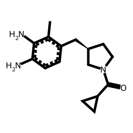 Cc1c(C[C@H]2CCN(C(=O)C3CC3)C2)ccc(N)c1N